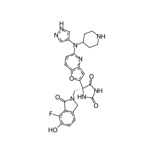 O=C1NC(=O)[C@](CN2Cc3ccc(O)c(F)c3C2=O)(c2cc3nc(N(c4cn[nH]c4)C4CCNCC4)ccc3o2)N1